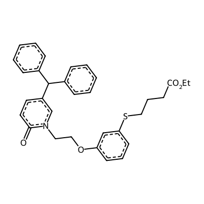 CCOC(=O)CCCSc1cccc(OCCn2cc(C(c3ccccc3)c3ccccc3)ccc2=O)c1